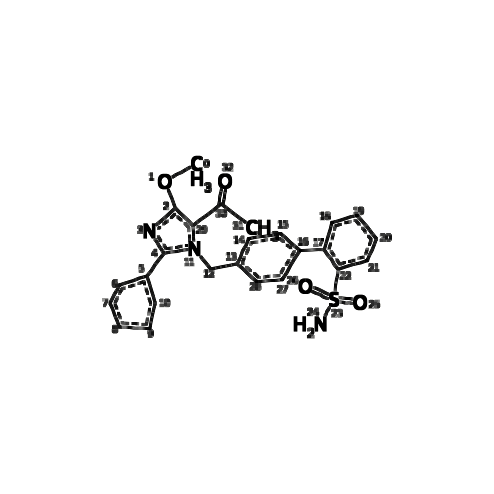 COc1nc(-c2ccccc2)n(Cc2ccc(-c3ccccc3S(N)(=O)=O)cc2)c1C(C)=O